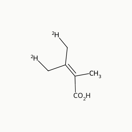 [2H]CC(C[2H])=C(C)C(=O)O